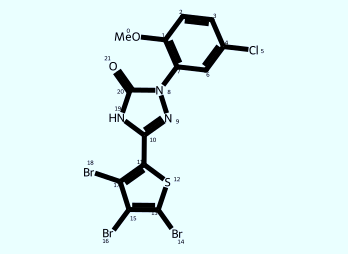 COc1ccc(Cl)cc1-n1nc(-c2sc(Br)c(Br)c2Br)[nH]c1=O